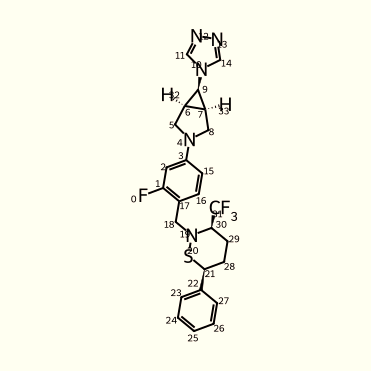 Fc1cc(N2C[C@@H]3[C@H](C2)[C@@H]3n2cnnc2)ccc1CN1S[C@H](c2ccccc2)CC[C@@H]1C(F)(F)F